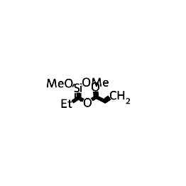 C=CC(=O)OC(CC)[SiH](OC)OC